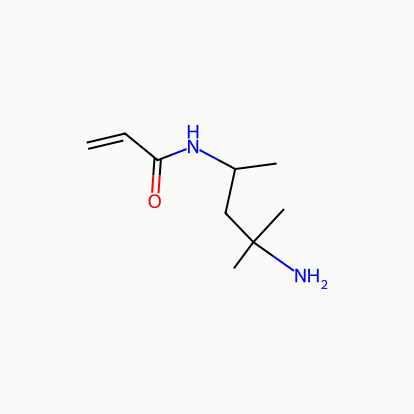 C=CC(=O)NC(C)CC(C)(C)N